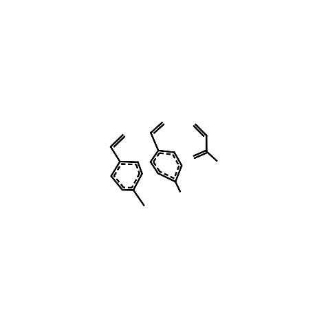 C=CC(=C)C.C=Cc1ccc(C)cc1.C=Cc1ccc(C)cc1